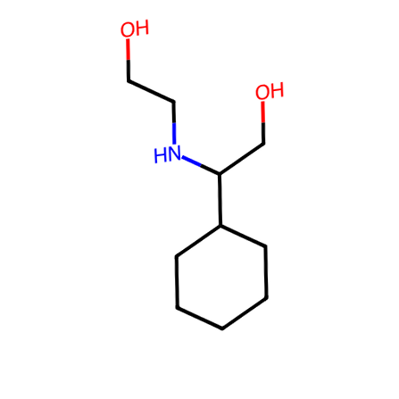 OCCNC(CO)C1CCCCC1